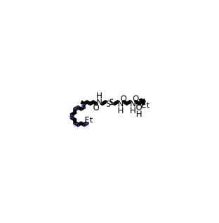 CC/C=C\C/C=C\C/C=C\C/C=C\C/C=C(\C)CCCC(=O)NCCSSCCNC(=O)CCNC(=O)[C@H](O)C(C)(C)CC